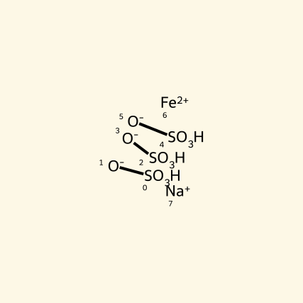 O=S(=O)([O-])O.O=S(=O)([O-])O.O=S(=O)([O-])O.[Fe+2].[Na+]